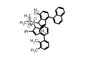 CC1=Cc2c(-c3cccc4ccccc34)ccc(C)c2[CH]1[Zr]([Cl])([Cl])([CH]1C(C(C)C)=Cc2c(-c3cccc(C)c3C)cccc21)[SiH](C)C